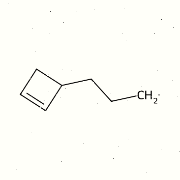 [CH2]CCC1C=CC1